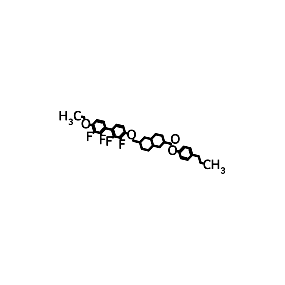 CCCc1ccc(OC(=O)C2CCC3CC(COc4ccc(-c5ccc(OCC)c(F)c5F)c(F)c4F)CCC3C2)cc1